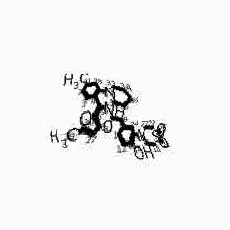 Cc1ccc(C(NC(=O)Cc2ccc(O)c(N3CCS(=O)(=O)CC3)c2)c2ccc(C)o2)c(N2CCCCC2)c1